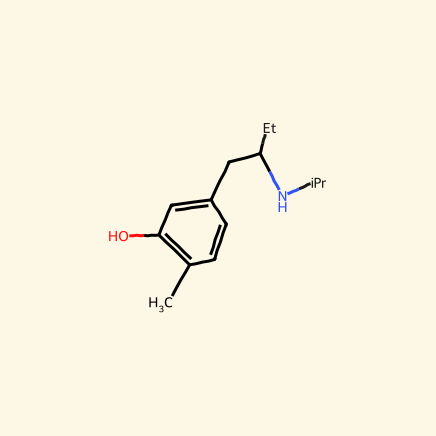 CCC(Cc1ccc(C)c(O)c1)NC(C)C